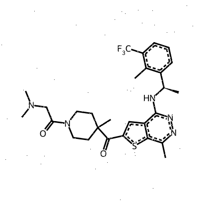 Cc1c([C@@H](C)Nc2nnc(C)c3sc(C(=O)C4(C)CCN(C(=O)CN(C)C)CC4)cc23)cccc1C(F)(F)F